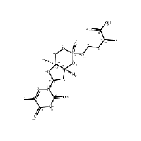 Cc1cn([C@@H]2C[C@H]3OP(=O)(OCC[C@H](C)C(=O)O)OC[C@@H]3O2)c(=O)[nH]c1=O